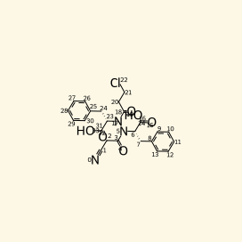 N#CCC(=O)N([C@@H](Cc1ccccc1)C(=O)O)N(C(=O)CCCl)[C@@H](Cc1ccccc1)C(=O)O